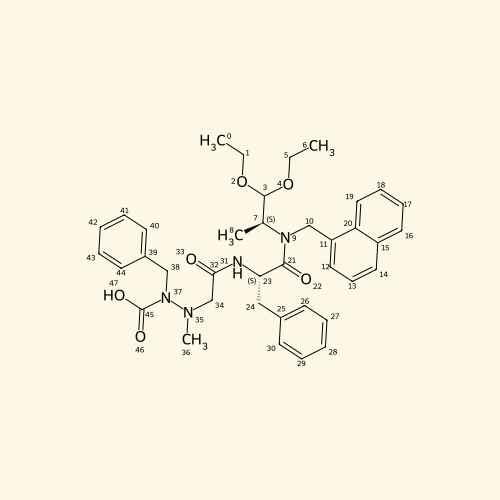 CCOC(OCC)[C@H](C)N(Cc1cccc2ccccc12)C(=O)[C@H](Cc1ccccc1)NC(=O)CN(C)N(Cc1ccccc1)C(=O)O